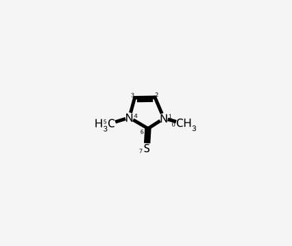 Cn1ccn(C)c1=S